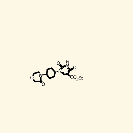 CCOC(=O)c1cn([C@H]2CC[C@H](N3CCOCC3=O)CC2)c(=O)[nH]c1=O